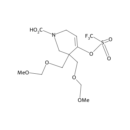 COCOCC1(COCOC)CN(C(=O)O)CC=C1OS(=O)(=O)C(F)(F)F